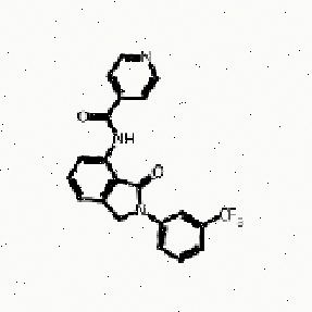 O=C(Nc1cccc2c1C(=O)N(c1cccc(C(F)(F)F)c1)C2)c1ccncc1